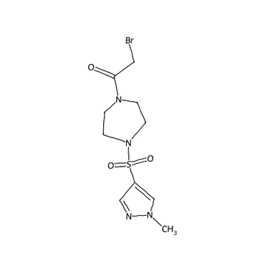 Cn1cc(S(=O)(=O)N2CCN(C(=O)CBr)CC2)cn1